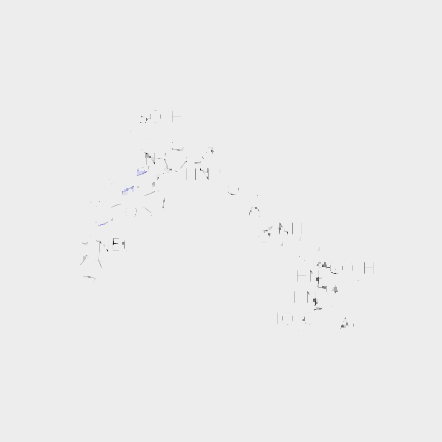 CC[N+]1=C(/C=C/C2=C(Oc3ccccc3)C(=C/C=C3/N(CCCS(=O)(=O)O)c4ccc(C(=O)NCCOCCOCC(=O)NCCCC[C@H](NC(=O)N[C@@H](CCC(C)=O)C(=O)O)C(=O)O)cc4C3(C)C)/CCC2)C(C)(C)c2ccccc21